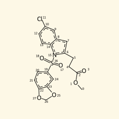 COC(=O)CCc1cc2cc(Cl)ccc2n1S(=O)(=O)c1ccc2c(c1)OCO2